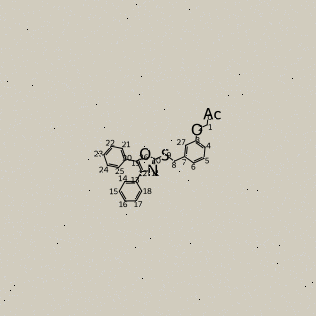 CC(=O)COc1cccc(CSc2nc(-c3ccccc3)c(-c3ccccc3)o2)c1